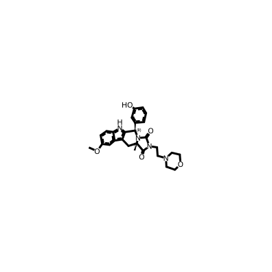 COc1ccc2[nH]c3c(c2c1)C[C@@]1(C)C(=O)N(CCN2CCOCC2)C(=O)N1[C@@H]3c1cccc(O)c1